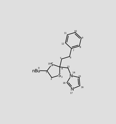 CCCCC1CSC(CCc2ccccc2)(Cn2ccnc2)S1